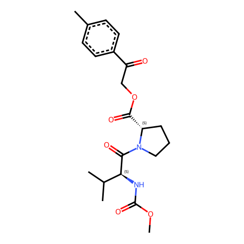 COC(=O)N[C@H](C(=O)N1CCC[C@H]1C(=O)OCC(=O)c1ccc(C)cc1)C(C)C